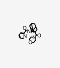 O=C(NC12CC3CC(C1)CC(C(=O)N1CCOCC1)(C3)C2)c1ccccn1